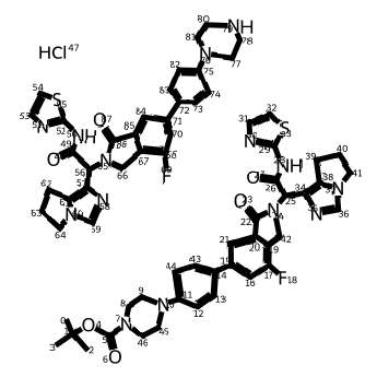 CC(C)(C)OC(=O)N1CCN(c2ccc(-c3cc(F)c4c(c3)C(=O)N(C(C(=O)Nc3nccs3)c3ncn5c3CCC5)C4)cc2)CC1.Cl.O=C(Nc1nccs1)C(c1ncn2c1CCC2)N1Cc2c(F)cc(-c3ccc(N4CCNCC4)cc3)cc2C1=O